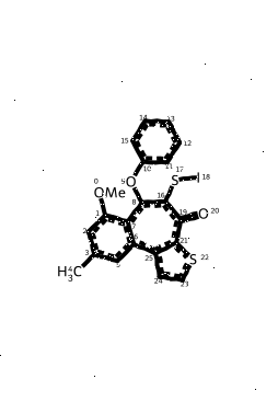 COc1cc(C)cc2c1c(Oc1ccccc1)c(SI)c(=O)c1sccc12